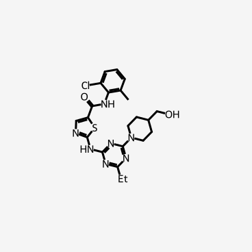 CCc1nc(Nc2ncc(C(=O)Nc3c(C)cccc3Cl)s2)nc(N2CCC(CO)CC2)n1